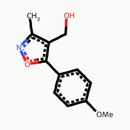 COc1ccc(-c2onc(C)c2CO)cc1